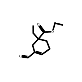 CCOC(=O)C1(CC)CCC=C(C=O)C1